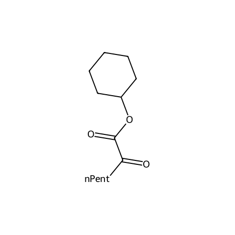 CCCCCC(=O)C(=O)OC1CCCCC1